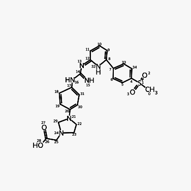 CS(=O)(=O)c1ccc(-c2ccc/c(=N/C(=N)Nc3ccc(N4CCN(CC(=O)O)C4)cc3)[nH]2)cc1